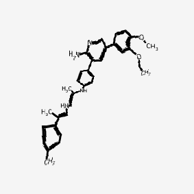 CCOc1cc(-c2cnc(N)c(-c3ccc(N/C(C)=C/N/C=C(\C)c4ccc(C)cc4)cc3)c2)ccc1OC